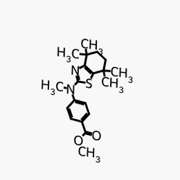 COC(=O)c1ccc(N(C)c2nc3c(s2)C(C)(C)CCC3(C)C)cc1